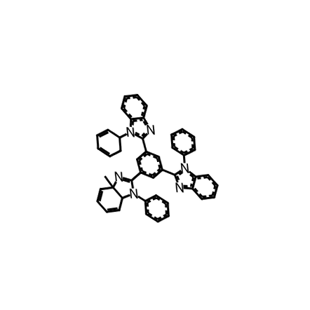 CC12C=CC=CC1N(c1ccccc1)C(c1cc(-c3nc4ccccc4n3-c3ccccc3)cc(-c3nc4ccccc4n3C3C=CC=CC3)c1)=N2